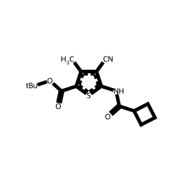 Cc1c(C(=O)OC(C)(C)C)sc(NC(=O)C2CCC2)c1C#N